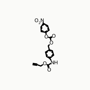 C#CCOC(=O)Nc1ccc(COC(=O)Oc2ccc([N+](=O)[O-])cc2)cc1